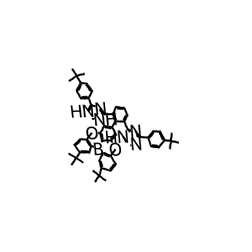 C/N=C(\N=C(/NC)c1cccc(/C(=N/C(=N)c2ccc(C(C)(C)C)cc2)NC)c1-c1cc2c3c(c1)Oc1ccc(C(C)(C)C)cc1B3c1cc(C(C)(C)C)ccc1O2)c1ccc(C(C)(C)C)cc1